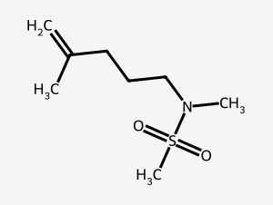 C=C(C)CCCN(C)S(C)(=O)=O